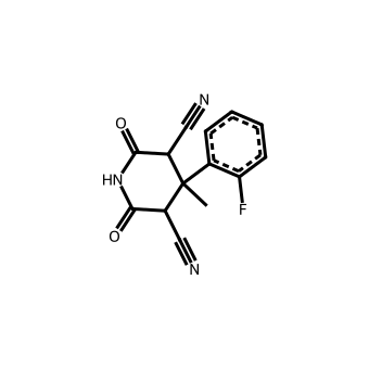 CC1(c2ccccc2F)C(C#N)C(=O)NC(=O)C1C#N